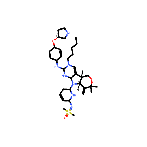 C=C1[C@@H]2N(C3CC=CC(N=S(C)(C)=O)N3)C3NC(NC4C=CC(O[C@H]5CCNC5)CC4)N(CCCCC)C=C3[C@]2(C)COC1(C)C